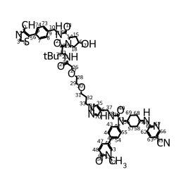 Cc1ncsc1-c1ccc(CNC(=O)[C@@H]2C[C@@H](O)CN2C(=O)[C@@H](NC(=O)COCCOCCCn2cc(CNC(=O)N(c3ccc(-c4ccc(=O)n(C)c4)cc3)C3CCC(Nc4ccc(C#N)cn4)CC3)cn2)C(C)(C)C)cc1